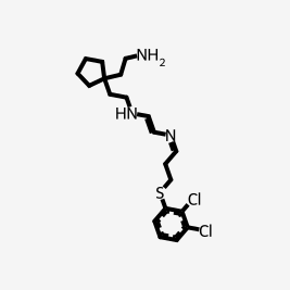 NCCC1(CCN/C=C/N=C\CCSc2cccc(Cl)c2Cl)CCCC1